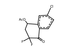 CC(=O)OC1CC(F)(F)C(=O)c2ccc(Cl)cc21